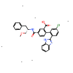 COC[C@H](Cc1ccccc1)NC(=O)c1ccc(-c2cc(Cl)ccc2-c2nc3ccccc3[nH]2)c(C(=O)O)c1